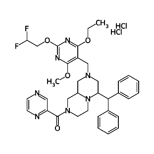 CCOc1nc(OCC(F)F)nc(OC)c1CN1CC2CN(C(=O)c3cnccn3)CCN2C(C(c2ccccc2)c2ccccc2)C1.Cl.Cl